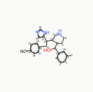 Cc1cccc(C(O)C2CCNCC2C(Cc2ccc(C#N)cc2)c2cnc[nH]2)c1